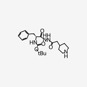 CC(C)(C)OC(=O)N[C@@H](Cc1ccccc1)C(=O)NNC(=O)CC1CCNCC1